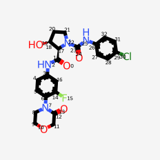 O=C(Nc1ccc(N2CCOCC2=O)c(F)c1)[C@H]1[C@@H](O)CCN1C(=O)Nc1ccc(Cl)cc1